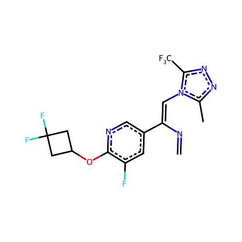 C=N/C(=C\n1c(C)nnc1C(F)(F)F)c1cnc(OC2CC(F)(F)C2)c(F)c1